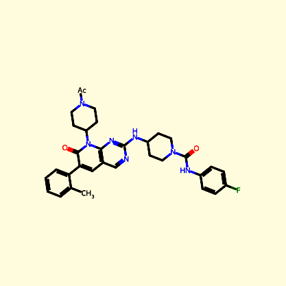 CC(=O)N1CCC(n2c(=O)c(-c3ccccc3C)cc3cnc(NC4CCN(C(=O)Nc5ccc(F)cc5)CC4)nc32)CC1